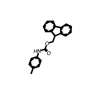 Cc1ccc(NC(=O)OCC2c3ccccc3-c3ccccc32)cc1